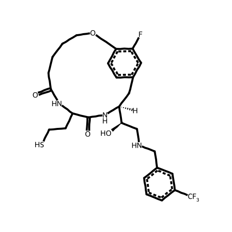 O=C1CCCCOc2ccc(cc2F)C[C@@H]([C@H](O)CNCc2cccc(C(F)(F)F)c2)NC(=O)C(CCS)N1